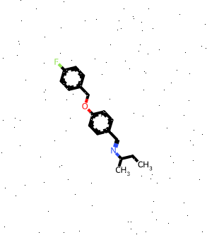 CCC(C)N=Cc1ccc(OCc2ccc(F)cc2)cc1